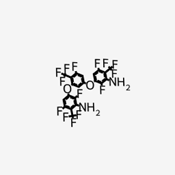 Nc1c(F)c(Oc2cc(F)c(C(F)(F)F)c(Oc3cc(F)c(C(F)(F)F)c(N)c3F)c2)cc(F)c1C(F)(F)F